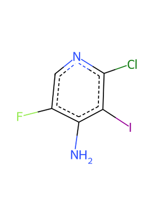 Nc1c(F)cnc(Cl)c1I